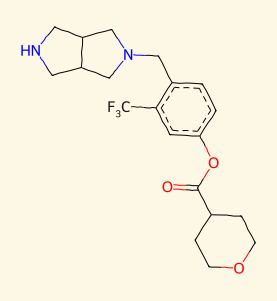 O=C(Oc1ccc(CN2CC3CNCC3C2)c(C(F)(F)F)c1)C1CCOCC1